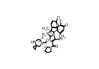 Cc1cc(Cl)c(F)cc1[C@H]1N2C(=N[C@@]1(C)c1ccc(Cl)nc1)SC(C(=O)N1CCC[C@@H]1C(=O)N1CC3(CC3)NC[C@@H]1C)=C2C(C)C